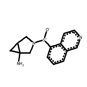 NC12CC1CN([S+]([O-])c1cccc3cnccc13)C2